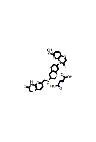 COc1ccc2ncc(=O)n(-c3cnc4c(c3)OCC(NCc3ccc5c(n3)NC(=O)CO5)C4)c2n1.O=C(O)/C=C/C(=O)O